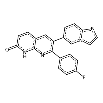 O=c1ccc2cc(-c3ccc4nccn4c3)c(-c3ccc(F)cc3)nc2[nH]1